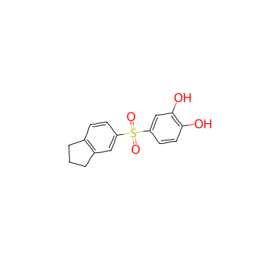 O=S(=O)(c1ccc(O)c(O)c1)c1ccc2c(c1)CCC2